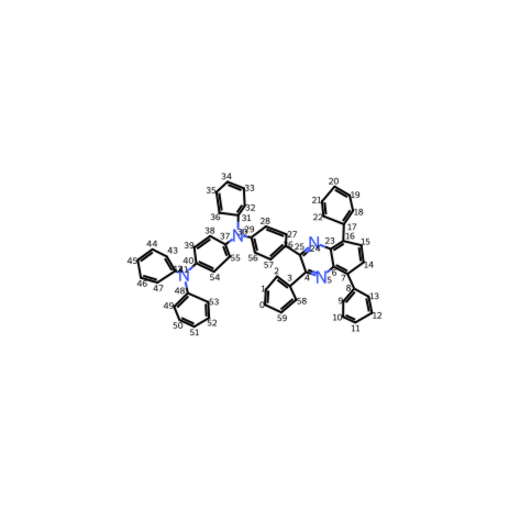 c1ccc(-c2nc3c(-c4ccccc4)ccc(-c4ccccc4)c3nc2-c2ccc(N(c3ccccc3)c3ccc(N(c4ccccc4)c4ccccc4)cc3)cc2)cc1